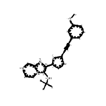 COc1cccc(C#Cc2ccc(-c3nc4cnccn4c3NC(C)(C)C)s2)c1